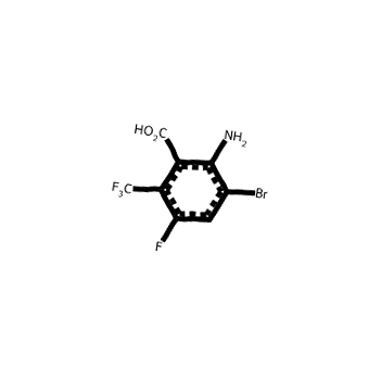 Nc1c(Br)cc(F)c(C(F)(F)F)c1C(=O)O